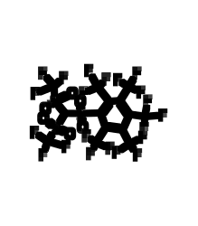 O=S(=O)(c1c(C(F)(F)F)c(C(F)(F)F)c(C(F)(F)F)c(C(F)(F)F)c1C(F)(F)F)C(S(=O)(=O)C(F)(F)F)S(=O)(=O)C(F)(F)F